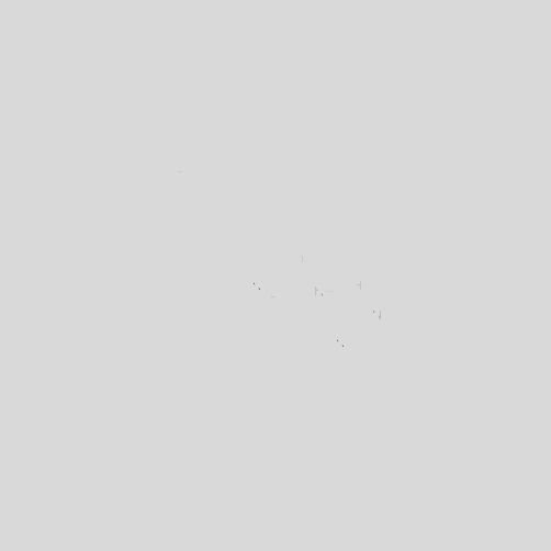 CC(C)[C@H](NC(=O)c1nc2ccccc2nc1O)C(=O)N1CCC(C(O)c2ccc(F)cc2F)CC1